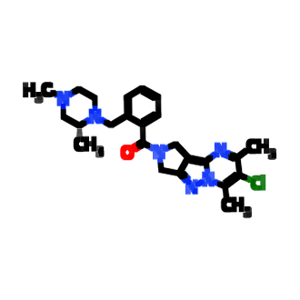 Cc1nc2c3c(nn2c(C)c1Cl)CN(C(=O)c1ccccc1CN1CCN(C)C[C@H]1C)C3